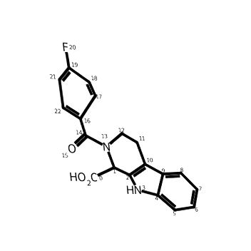 O=C(O)C1c2[nH]c3ccccc3c2CCN1C(=O)c1ccc(F)cc1